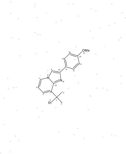 CCC(C)(C)c1cccn2cc(-c3ccc(OC)cc3)nc12